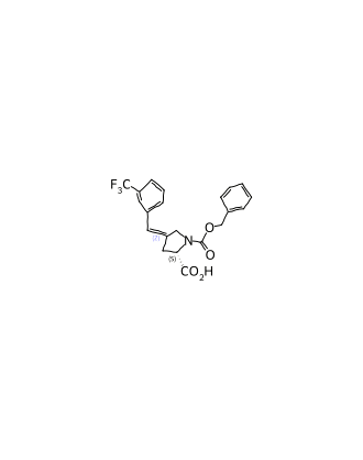 O=C(O)[C@@H]1C/C(=C/c2cccc(C(F)(F)F)c2)CN1C(=O)OCc1ccccc1